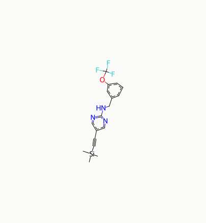 C[Si](C)(C)C#Cc1cnc(NCc2cccc(OC(F)(F)F)c2)nc1